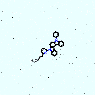 CCCCc1cccc(-n2c3ccccc3c3c4c5ccccc5n(-c5ccccc5)c4ccc32)n1